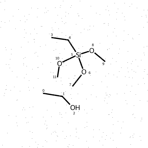 CCO.CC[Si](OC)(OC)OC